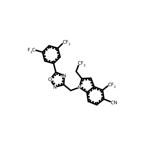 N#Cc1ccc2c(cc(CC(F)(F)F)n2Cc2noc(-c3cc(C(F)(F)F)cc(C(F)(F)F)c3)n2)c1C(F)(F)F